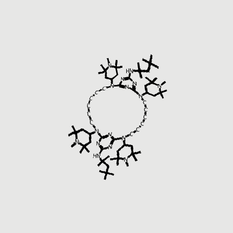 CN1C(C)(C)CC(N2CCCCCCN(C3CC(C)(C)N(C)C(C)(C)C3)c3nc(NC(C)(C)CC(C)(C)C)nc(n3)N(C3CC(C)(C)N(C)C(C)(C)C3)CCCCCCN(C3CC(C)(C)N(C)C(C)(C)C3)c3nc(NC(C)(C)CC(C)(C)C)nc2n3)CC1(C)C